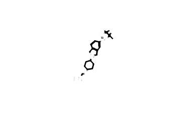 CC1(C)OB(c2ccc3c(c2)CN(C2CCC(OC(N)=O)CC2)C3)OC1(C)C